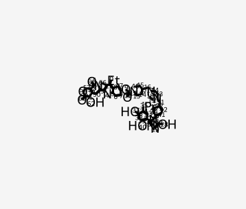 CCc1c2c(nc3ccc(OC(=O)N4CCC(CN5CCN(Cc6ccc(-n7c(O)nnc7-c7cc(C(C)C)c(O)cc7O)cc6)CC5)CC4)cc13)-c1cc3c(c(=O)n1C2)COC(=O)[C@H]3O